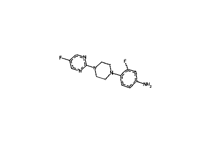 Nc1ccc(N2CCN(c3ncc(F)cn3)CC2)c(F)c1